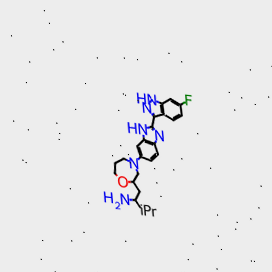 CC(C)C(N)CC1CN(c2ccc3nc(-c4n[nH]c5cc(F)ccc45)[nH]c3c2)CCCO1